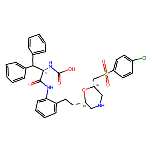 O=C(O)N[C@H](C(=O)Nc1ccccc1CC[C@H]1CNC[C@@H](CS(=O)(=O)c2ccc(Cl)cc2)O1)C(c1ccccc1)c1ccccc1